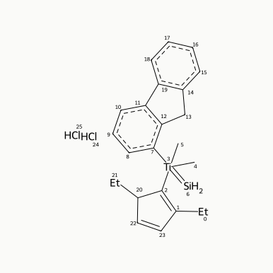 CCC1=[C]([Ti]([CH3])([CH3])(=[SiH2])[c]2cccc3c2Cc2ccccc2-3)C(CC)C=C1.Cl.Cl